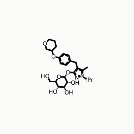 Cc1c(Cc2ccc(OC3CCCOC3)cc2)c(O[C@@H]2O[C@H](CO)[C@@H](O)[C@H](O)[C@H]2O)nn1C(C)C